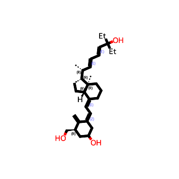 C=C1/C(=C\C=C2/CCC[C@]3(C)[C@@H]([C@H](C)/C=C/C=C/C(O)(CC)CC)CC[C@@H]23)CC(O)C[C@H]1CO